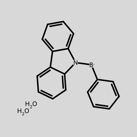 O.O.[B](c1ccccc1)n1c2ccccc2c2ccccc21